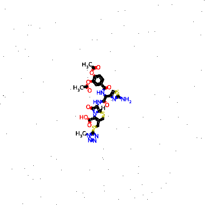 CC(=O)Oc1ccc(C(=O)NC(C(=O)N[C@@H]2C(=O)N3C(C(=O)O)=C(CSc4nnnn4C)CS[C@@H]23)c2csc(N)n2)cc1OC(C)=O